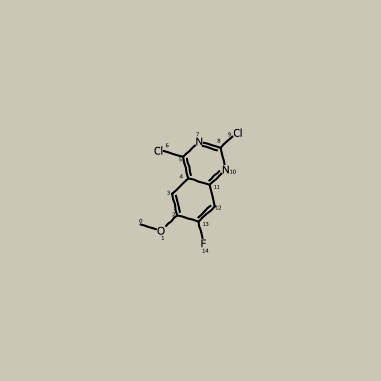 COc1cc2c(Cl)nc(Cl)nc2cc1F